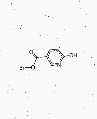 O=C(OBr)c1ccc(O)nc1